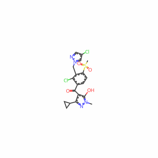 Cn1nc(C2CC2)c(C(=O)c2ccc(S(C)(=O)=O)c(Cn3cc(Cl)cn3)c2Cl)c1O